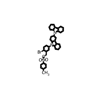 Cc1ccc(S(=O)(=O)OCc2cc(-n3c4ccccc4c4cc(-n5c6ccccc6c6ccccc65)ccc43)ccc2Br)cc1